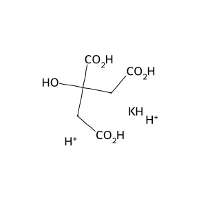 O=C(O)CC(O)(CC(=O)O)C(=O)O.[H+].[H+].[KH]